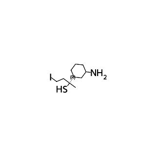 CC(S)(CCI)[C@@H]1CCCC(N)C1